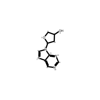 OC1COC(n2cnc3cncnc32)C1